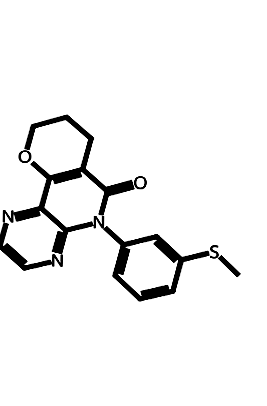 CSc1cccc(-n2c(=O)c3c(c4nccnc42)OCCC3)c1